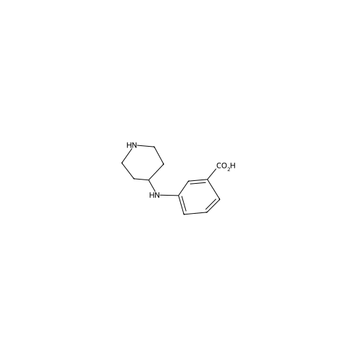 O=C(O)c1cccc(NC2CCNCC2)c1